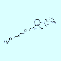 COCCOCCOCCNc1cccc(C2=NC(C)(C)CS2)c1O